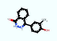 O=c1[nH]nc(-c2ccc(O)c(C(F)(F)F)c2)c2ccccc12